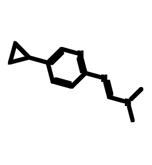 CN(C)C=Nc1ccc(C2CC2)cn1